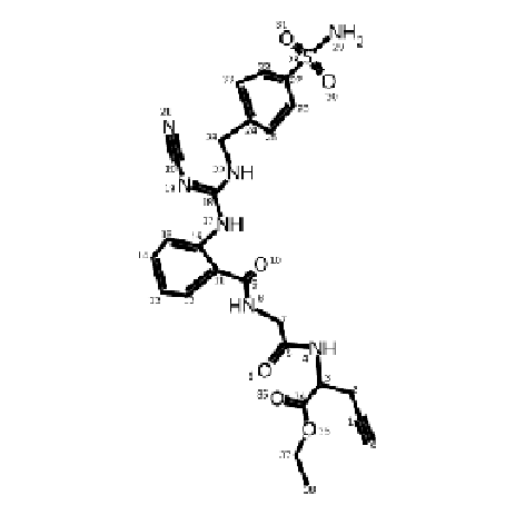 C#CCC(NC(=O)CNC(=O)c1ccccc1NC(=NC#N)NCc1ccc(S(N)(=O)=O)cc1)C(=O)OCC